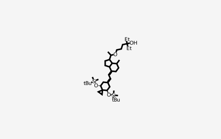 CCC(O)(CC)CCCOC(C)C1CCC2/C(=C/C=C3C[C@@H](O[Si](C)(C)C(C)(C)C)C4(CC4)[C@H](O[Si](C)(C)C(C)(C)C)C3)CCC(C)C21